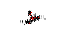 CN1CCN(CC(=O)N[C@@H](CC(=O)NC[C@@H]2CCCN(C=NN)C2)C(=O)N(CCNC(=O)c2cnccn2)C2CC2)CC1